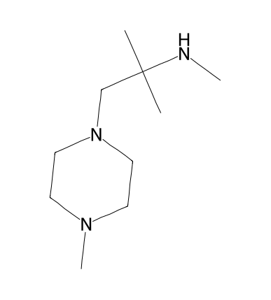 CNC(C)(C)CN1CCN(C)CC1